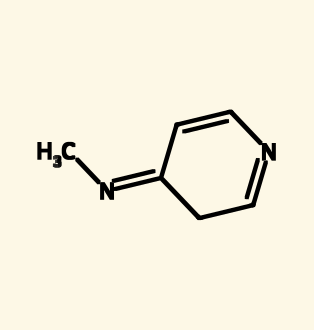 CN=C1C=CN=CC1